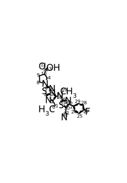 CCc1nc2sc(N3CC[C@@H](C(=O)O)C3)nn2c1N(C)c1nc(-c2ccc(F)cc2)c(C#N)s1